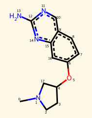 CN1CCC(Oc2ccc3cnc(N)nc3c2)C1